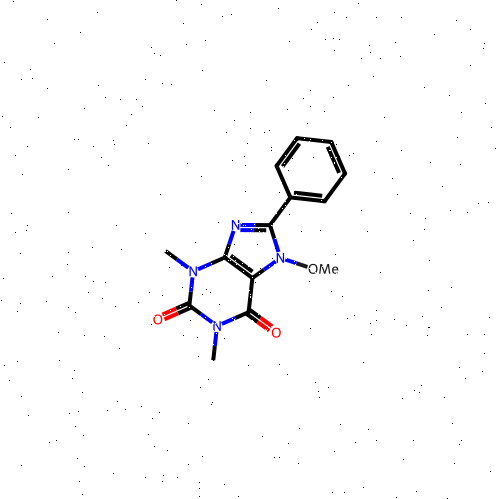 COn1c(-c2ccccc2)nc2c1c(=O)n(C)c(=O)n2C